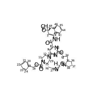 COc1cc(NC(=O)c2cc(N3CCN(C(=O)OCc4ccccc4)[C@@H](CC#N)C3)nc(OCCC3CCCN3C)n2)c2ccccc2c1